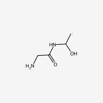 [CH2]C(O)NC(=O)CN